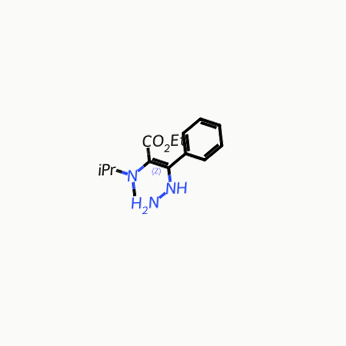 CCOC(=O)/C(=C(/NN)c1ccccc1)N(C)C(C)C